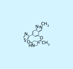 CC(Oc1cc(-c2cscn2)cc2nn(C)cc12)[C@H]1CNC(=O)C1